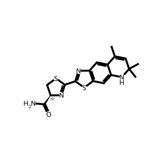 CC1=CC(C)(C)Nc2cc3sc(C4=N[C@@H](C(N)=O)CS4)nc3cc21